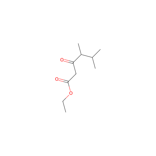 CCOC(=O)CC(=O)C(C)C(C)C